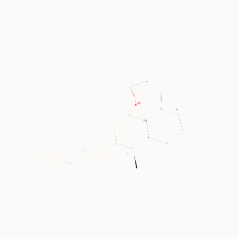 C[C@H]1C(OCCO)OC2O[C@]3(C)CCC4[C@H](C)CCC1C24OO3